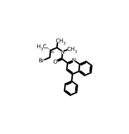 CC([C@@H](C)CBr)N(C)C(=O)c1cc(-c2ccccc2)c2ccccc2n1